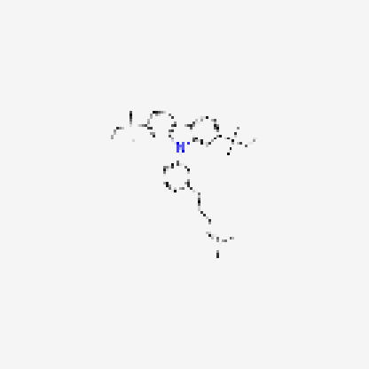 CCC(C)(C)c1ccc2c3ccc(C(C)(C)CC)cc3n(-c3cccc(CCCC=C(C)C)c3)c2c1